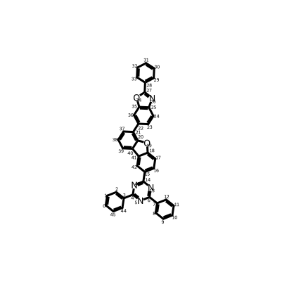 c1ccc(-c2nc(-c3ccccc3)nc(-c3ccc4oc5c(-c6ccc7nc(-c8ccccc8)oc7c6)cccc5c4c3)n2)cc1